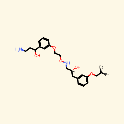 CCC(CC)COc1cccc(C[C@@H](O)CNOCCOc2cccc(C(O)CCN)c2)c1